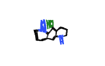 C1=CNC2CC3CCCNC3=CC2=C1.Cl